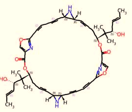 C/C=C/[C@H](O)C(C)(C)[C@@H]1C/C=C\[C@H]2N[C@H]2/C=C/C=C\c2nc(co2)C(=O)O[C@H](C(C)(C)[C@@H](O)/C=C/C)C/C=C\[C@H]2N[C@H]2/C=C/C=C\c2nc(co2)C(=O)O1